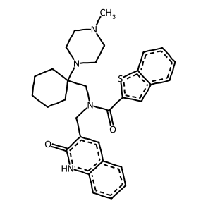 CN1CCN(C2(CN(Cc3cc4ccccc4[nH]c3=O)C(=O)c3cc4ccccc4s3)CCCCC2)CC1